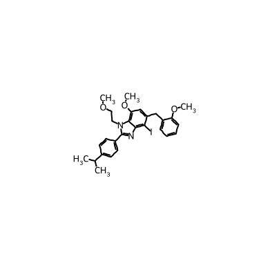 COCCn1c(-c2ccc(C(C)C)cc2)nc2c(I)c(Cc3ccccc3OC)cc(OC)c21